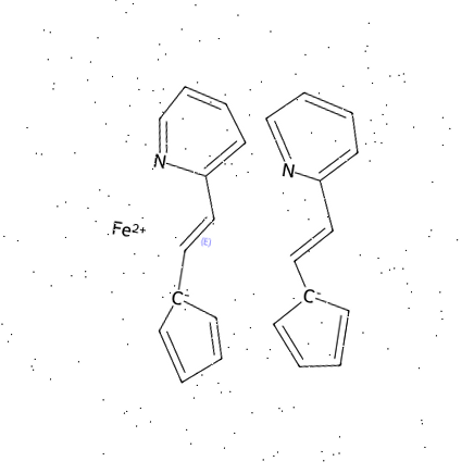 C(=C[c-]1cccc1)c1ccccn1.C(=C\[c-]1cccc1)/c1ccccn1.[Fe+2]